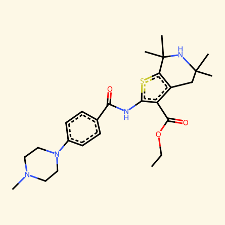 CCOC(=O)c1c(NC(=O)c2ccc(N3CCN(C)CC3)cc2)sc2c1CC(C)(C)NC2(C)C